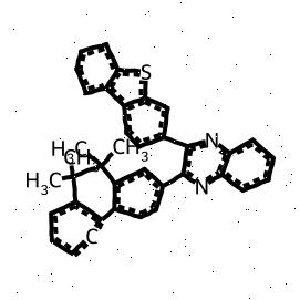 CC1(C)c2ccccc2-c2ccc(-c3nc4ccccc4nc3-c3ccc4c(c3)sc3ccccc34)cc2C1(C)C